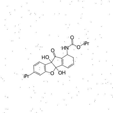 CC(C)OC(=O)NC1CC=CC2=C1C(=O)C1(O)c3ccc(C(C)C)cc3OC21O